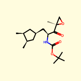 C[C@@H]1C[C@H](C[C@H](NC(=O)OC(C)(C)C)C(=O)[C@@]2(C)CO2)C[C@@H]1C